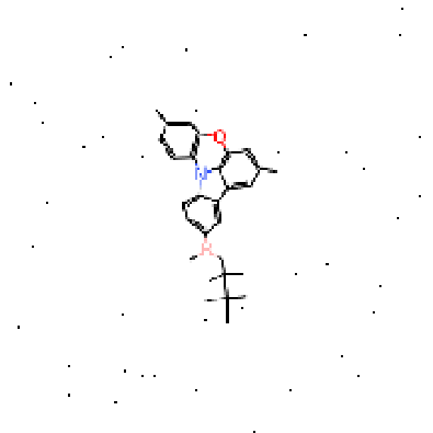 CB(CC(C)(C)C(C)(C)C)c1ccc2c(c1)c1cc(C)cc3c1n2-c1ccc(C)cc1O3